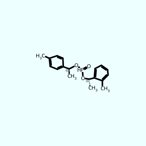 Cc1ccc([C@H](C)O[PH](=O)O[C@@H](C)c2ccccc2C)cc1